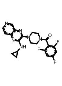 O=C(c1c(F)cc(F)cc1F)N1CCN(c2nc3cnccc3nc2NC2CC2)CC1